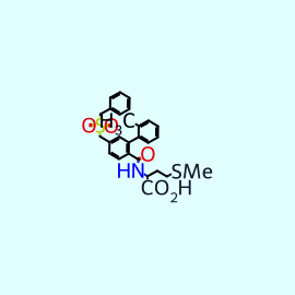 CSCCC(NC(=O)c1ccc(CS(=O)(=O)Cc2ccccc2)cc1-c1ccccc1C)C(=O)O